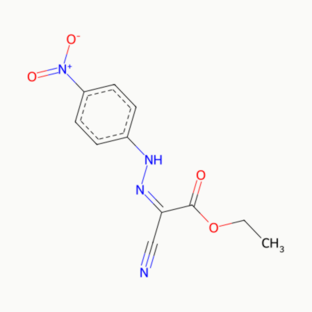 CCOC(=O)/C(C#N)=N\Nc1ccc([N+](=O)[O-])cc1